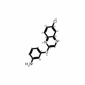 Nc1cccc(Oc2cnc3cc(Cl)ccc3n2)c1